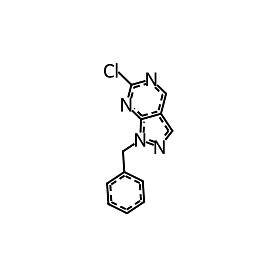 Clc1ncc2cnn(Cc3ccccc3)c2n1